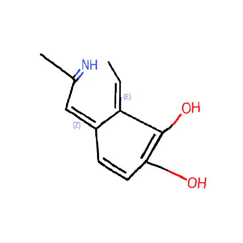 C/C=c1/c(O)c(O)cc/c1=C/C(C)=N